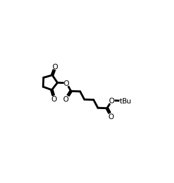 CC(C)(C)OC(=O)CCCCC(=O)OC1C(=O)CCC1=O